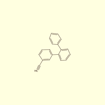 C#Cc1cccc(-c2ccccc2-c2ccccc2)c1